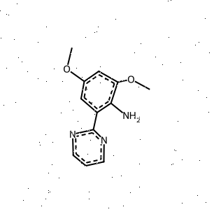 COc1cc(OC)c(N)c(-c2ncccn2)c1